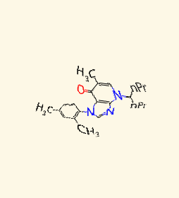 CCCC(CCC)n1cc(C)c(=O)c2c1ncn2-c1ccc(C)cc1C